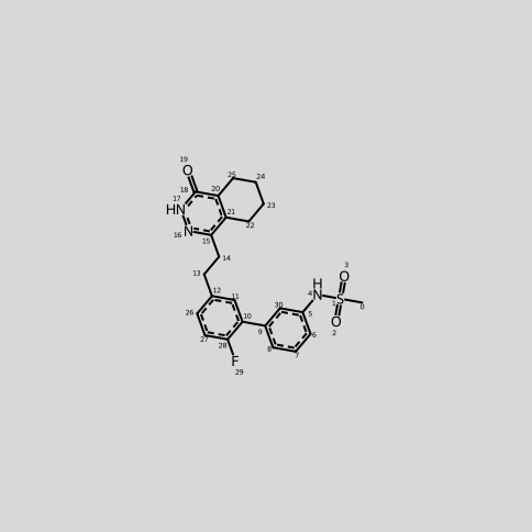 CS(=O)(=O)Nc1cccc(-c2cc(CCc3n[nH]c(=O)c4c3CCCC4)ccc2F)c1